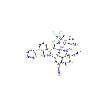 Cc1c(-c2ccnnc2)cccc1[C@H](Nc1cc(C#N)c2ncc(C#N)c(NCC(C)(C)C)c2c1)C1=CN(C2(C(F)(F)F)CC2)NN1